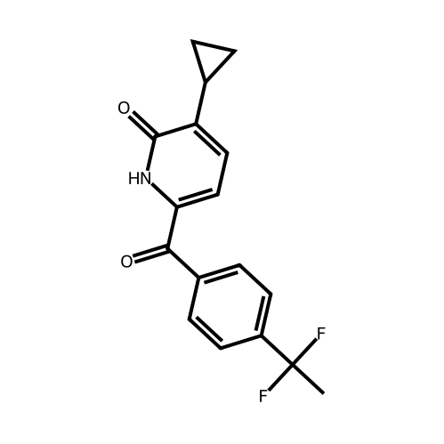 CC(F)(F)c1ccc(C(=O)c2ccc(C3CC3)c(=O)[nH]2)cc1